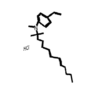 C=Cc1ccc(N(C)C(C)(C)CCCCCCCCCCC)cc1.Cl